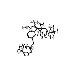 [2H]c1[nH]c2ccc(C[C@H]3COC(=O)N3)cc2c1C([2H])([2H])CN(C)C([2H])([2H])[2H]